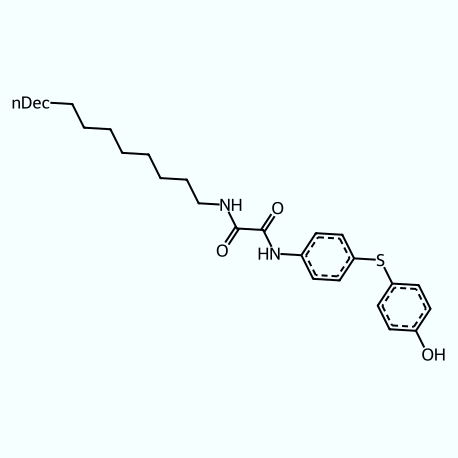 CCCCCCCCCCCCCCCCCCNC(=O)C(=O)Nc1ccc(Sc2ccc(O)cc2)cc1